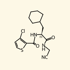 N#CCNC(=O)[C@H](CC1CCCCC1)NC(=O)c1sccc1Cl